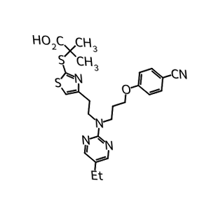 CCc1cnc(N(CCCOc2ccc(C#N)cc2)CCc2csc(SC(C)(C)C(=O)O)n2)nc1